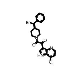 O=C(C(=O)N1CCC(=C(Br)c2ccccc2)CC1)c1c[nH]c2c(Cl)ccnc12